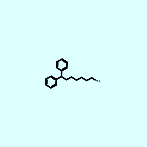 NCCCCCCC(c1ccccc1)c1ccccc1